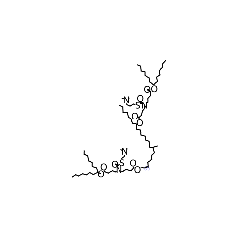 CCCCCCCC(CCCCCCC)OC(=O)CCCN(CCCC(=O)OC(CCCCCCC)CCCCCCCC(C)CCCC/C=C\COC(=O)CCCN(CCCC(=O)OC(CCCCCCC)CCCCCCC)C(=O)SCCN(C)C)C(=O)SCCCN(C)C